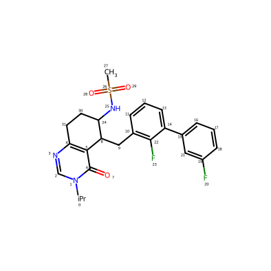 CC(C)n1cnc2c(c1=O)C(Cc1cccc(-c3cccc(F)c3)c1F)C(NS(C)(=O)=O)CC2